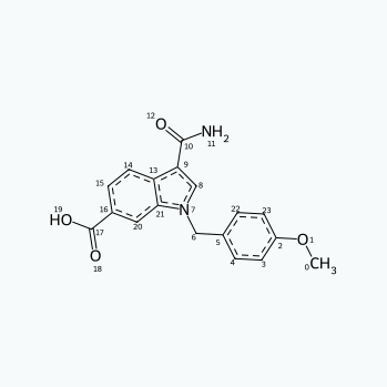 COc1ccc(Cn2cc(C(N)=O)c3ccc(C(=O)O)cc32)cc1